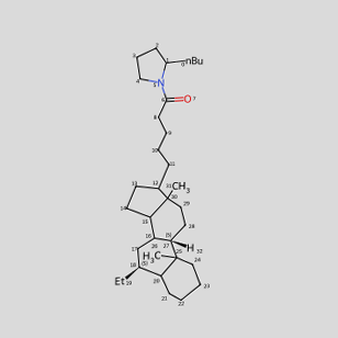 CCCCC1CCCN1C(=O)CCCCC1CCC2C3C[C@H](CC)C4CCCCC4(C)[C@H]3CCC12C